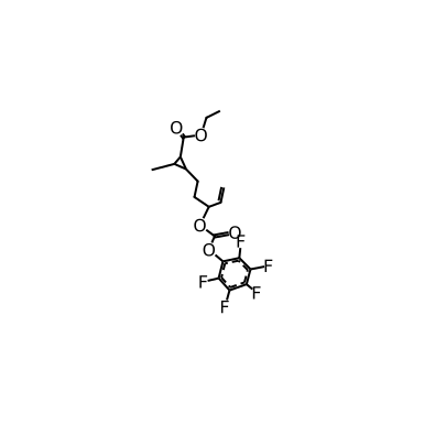 C=CC(CCC1C(C)C1C(=O)OCC)OC(=O)Oc1c(F)c(F)c(F)c(F)c1F